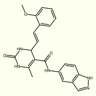 COc1ccccc1C=CC1NC(=O)NC(C)=C1C(=O)Nc1ccc2[nH]ncc2c1